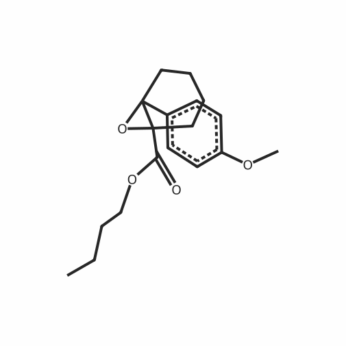 CCCCOC(=O)C12CCCCC1(c1ccc(OC)cc1)O2